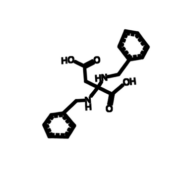 O=C(O)CC(NCc1ccccc1)(NCc1ccccc1)C(=O)O